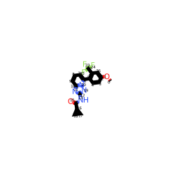 COc1ccc(-c2cccc3nc(NC(=O)C4CC4)nn23)c(C(F)(F)F)c1